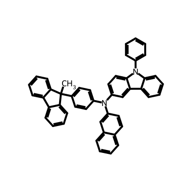 CC1(c2ccc(N(c3ccc4ccccc4c3)c3ccc4c(c3)c3ccccc3n4-c3ccccc3)cc2)c2ccccc2-c2ccccc21